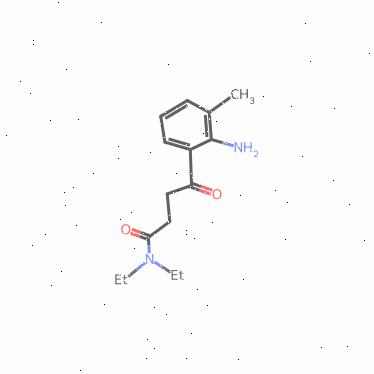 CCN(CC)C(=O)CCC(=O)c1cccc(C)c1N